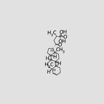 CC(CC(=O)[C@H]1CC[C@H]2[C@@H]3CC[C@H]4C=CCC[C@]4(C)[C@H]3CC[C@]12C)P(=O)(O)O